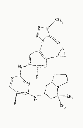 Cn1nnn(-c2cc(Nc3ncc(F)c(N[C@@H]4CC5CCCN5C(C)(C)C4)n3)c(F)cc2C2CC2)c1=O